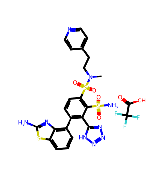 CN(CCc1ccncc1)S(=O)(=O)c1ccc(-c2cccc3sc(N)nc23)c(-c2nnn[nH]2)c1S(N)(=O)=O.O=C(O)C(F)(F)F